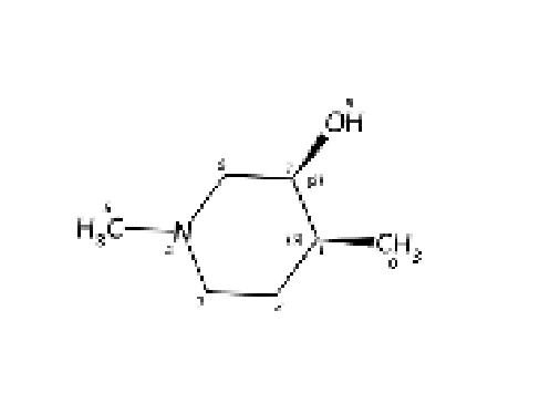 C[C@H]1CCN(C)C[C@H]1O